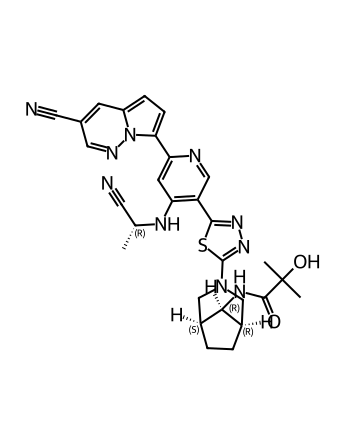 C[C@H](C#N)Nc1cc(-c2ccc3cc(C#N)cnn23)ncc1-c1nnc(N2C[C@H]3CC[C@@H](C2)[C@H]3NC(=O)C(C)(C)O)s1